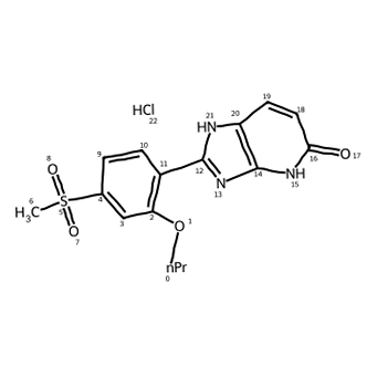 CCCOc1cc(S(C)(=O)=O)ccc1-c1nc2[nH]c(=O)ccc2[nH]1.Cl